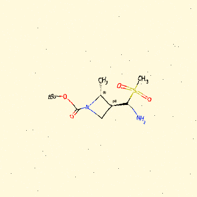 C[C@@H]1[C@@H](C(N)S(C)(=O)=O)CN1C(=O)OC(C)(C)C